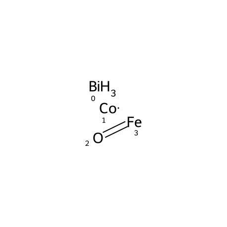 [BiH3].[Co].[O]=[Fe]